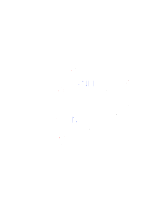 CC(C)(C)OC(=O)NC1CN(C(=O)OC(C)(C)C)CCc2ccc(Br)cc21